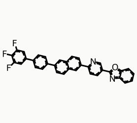 Fc1cc(-c2ccc(-c3ccc4cc(-c5ccc(-c6nc7ccccc7o6)cn5)ccc4c3)cc2)cc(F)c1F